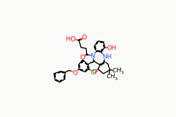 CC1(C)CC(=O)C2=C(C1)Nc1c(O)cccc1N(C(=O)CCC(=O)O)C2c1ccc(OCc2ccccc2)cc1Cl